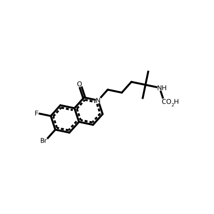 CC(C)(CCCn1ccc2cc(Br)c(F)cc2c1=O)NC(=O)O